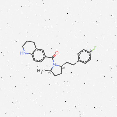 C[C@@H]1CC[C@H](CCc2ccc(F)cc2)N1C(=O)c1ccc2c(c1)CCCN2